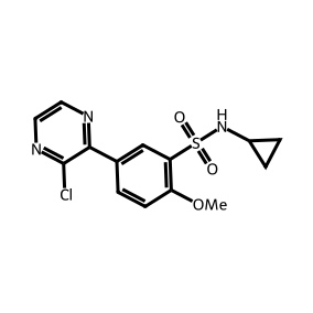 COc1ccc(-c2nccnc2Cl)cc1S(=O)(=O)NC1CC1